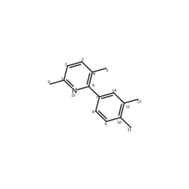 Cc1ccc(C)c(-c2ccc(C)c(C)c2)n1